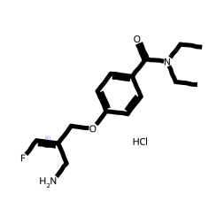 CCN(CC)C(=O)c1ccc(OC/C(=C/F)CN)cc1.Cl